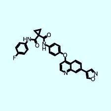 O=C(Nc1ccc(F)cc1)C1(C(=O)Nc2ccc(Oc3ccnc4cc(-c5cnoc5)ccc34)cc2)CC1